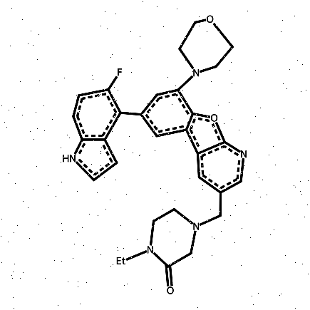 CCN1CCN(Cc2cnc3oc4c(N5CCOCC5)cc(-c5c(F)ccc6[nH]ccc56)cc4c3c2)CC1=O